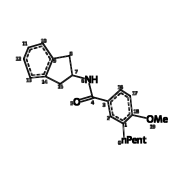 CCCCCc1cc(C(=O)NC2Cc3ccccc3C2)ccc1OC